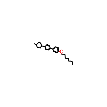 CCCCCCCOc1ccc(-c2ccc(C3CCC(C)CC3)cc2)cc1